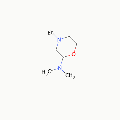 CCN1CCOC(N(C)C)C1